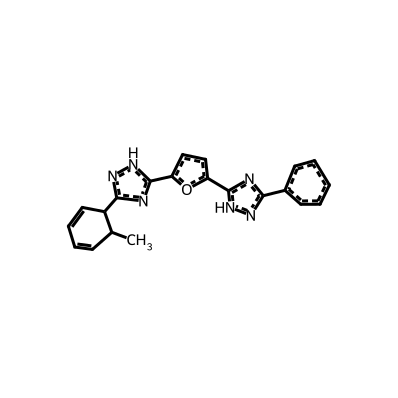 CC1C=CC=CC1c1n[nH]c(-c2ccc(-c3nc(-c4ccccc4)n[nH]3)o2)n1